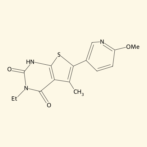 CCn1c(=O)[nH]c2sc(-c3ccc(OC)nc3)c(C)c2c1=O